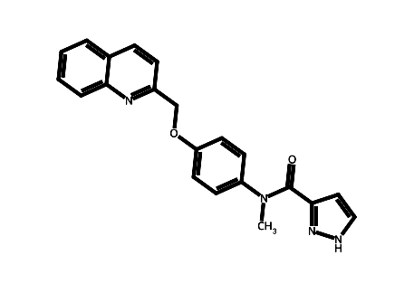 CN(C(=O)c1cc[nH]n1)c1ccc(OCc2ccc3ccccc3n2)cc1